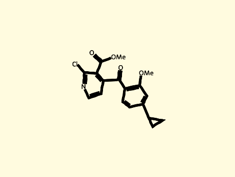 COC(=O)c1c(C(=O)c2ccc(C3CC3)cc2OC)ccnc1Cl